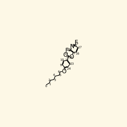 CCCCCCCOc1ccc(C(=O)Oc2ccc(F)nc2F)cc1